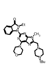 CCn1c(=O)c2ccccc2n1-c1nc(N2CCOCC2)c2nc(CN3CCN(C(C)(C)C)CC3)n(C)c2n1